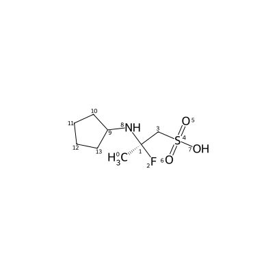 C[C@@](F)(CS(=O)(=O)O)NC1CCCC1